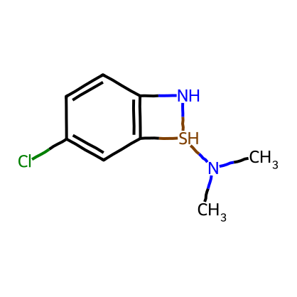 CN(C)[SH]1Nc2ccc(Cl)cc21